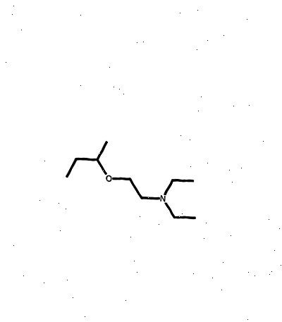 CCC(C)OCCN(CC)CC